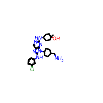 CC1(O)CCC(Nc2ncc3nc(Nc4cccc(Cl)c4)n(C4CCC(CN)CC4)c3n2)CC1